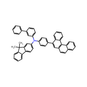 CC1(C)c2ccccc2-c2ccc(N(c3ccc(-c4cc5ccc6ccccc6c5c5ccccc45)cc3)c3cccc(-c4ccccc4)c3)cc21